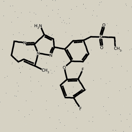 CCS(=O)(=O)Cc1ccc(Oc2ccc(F)cc2F)c(C2=NN3/C(=N\CCC/C=C/3C)C(N)=C2)c1